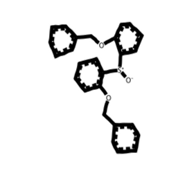 [O-][S+](c1ccccc1OCc1ccccc1)c1ccccc1OCc1ccccc1